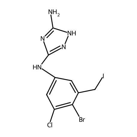 Nc1nc(Nc2cc(Cl)c(Br)c(CI)c2)n[nH]1